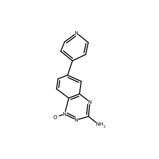 Nc1nc2cc(-c3ccncc3)ccc2[n+]([O-])n1